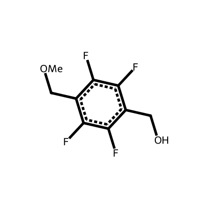 COCc1c(F)c(F)c(CO)c(F)c1F